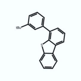 CC(C)(C)c1cccc(-c2cccc3c2sc2ccccc23)c1